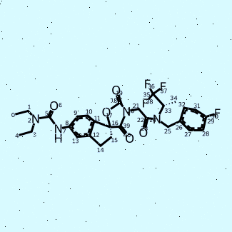 CCN(CC)C(=O)Nc1ccc2c(c1)CC[C@@]21OC(=O)N(CC(=O)N(Cc2ccc(F)cc2)[C@@H](C)C(F)(F)F)C1=O